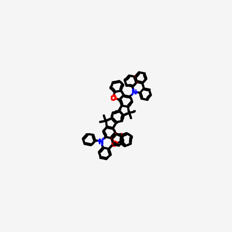 CC1(C)c2cc3c(cc2-c2c1cc(N(c1ccccc1)c1ccccc1-c1ccccc1)c1c2oc2ccccc21)C(C)(C)c1cc(N(c2ccccc2)c2ccccc2-c2ccccc2)c2oc4ccccc4c2c1-3